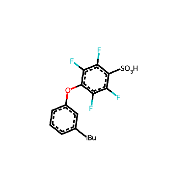 CCC(C)c1cccc(Oc2c(F)c(F)c(S(=O)(=O)O)c(F)c2F)c1